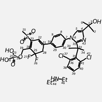 CC(C)(O)c1cn(-c2ccc(C3=CC(S(C)(=O)=O)=C(COP(=O)(O)O)C(F)(F)C3)cc2)c(C(C)(C)c2c(Cl)cccc2Cl)n1.CCNCC